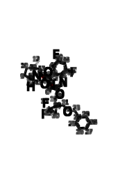 CC(C)(C)OC(=O)N1[C@@H]2CC[C@@]1(C)CN(c1nc(OC[C@]3(COCc4ccccc4)CC3(F)F)nc3c(F)cc(F)cc13)C2